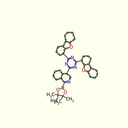 CC1(C)OB(c2ncc(-c3nc(-c4cccc5c4oc4ccccc45)nc(-c4cccc5c4oc4ccccc45)n3)c3ccccc23)OC1(C)C